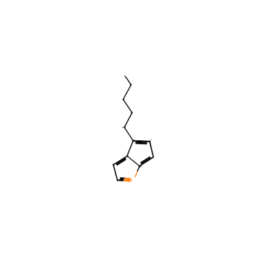 CCCCCC1=CC=C2P=CC=C12